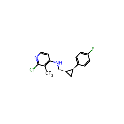 Fc1ccc([C@H]2C[C@@H]2CNc2ccnc(Cl)c2C(F)(F)F)cc1